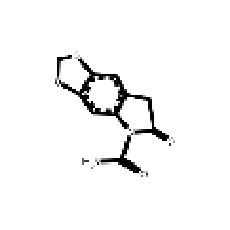 NC(=O)N1C(=O)Cc2cc3c(cc21)OCO3